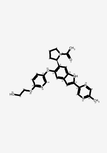 CC(=O)N1CCC[C@@H]1c1cc2[nH]c(-c3cnc(C)cn3)cc2cc1Oc1ccc(OCCO)nc1